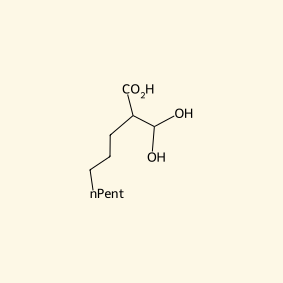 CCCCCCCCC(C(=O)O)C(O)O